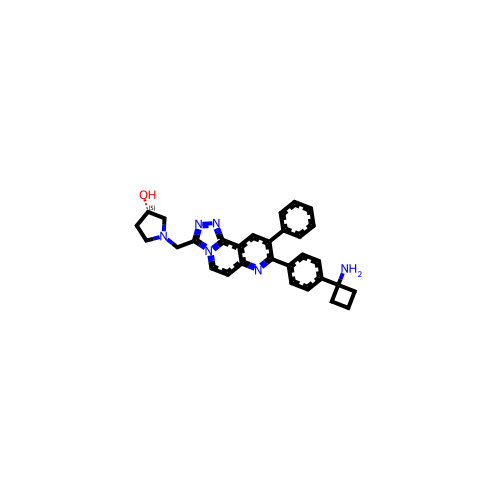 NC1(c2ccc(-c3nc4ccn5c(CN6CC[C@H](O)C6)nnc5c4cc3-c3ccccc3)cc2)CCC1